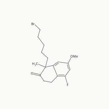 COc1cc(F)c2c(c1)C(C)(CCCCCBr)C(=O)CC2